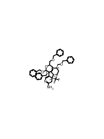 NC1=NC=C(C2CCC(COCc3ccccc3)OC2OCc2ccccc2)[C@@]([C@@H]2CC[C@H](COCc3ccccc3)OC2OCc2ccccc2)(C(F)(F)F)C1